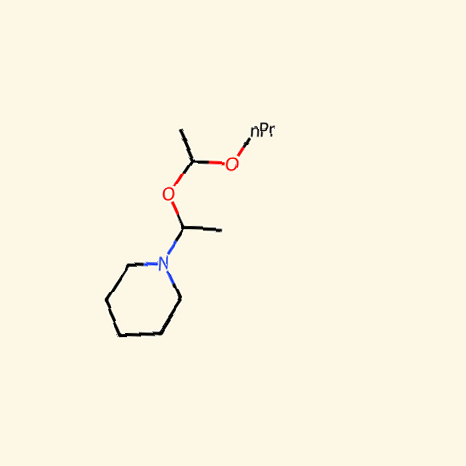 CCCOC(C)OC(C)N1CCCCC1